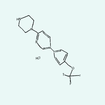 Cl.FC(F)(F)Oc1ccc(-c2ccc(N3CCNCC3)nc2)cc1